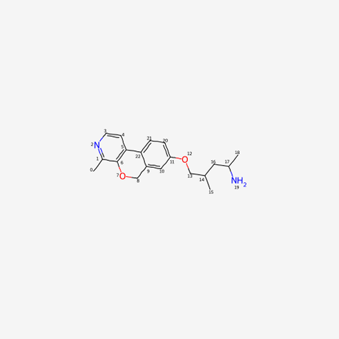 Cc1nccc2c1OCc1cc(OCC(C)CC(C)N)ccc1-2